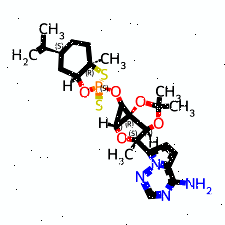 C=C(C)[C@H]1CC[C@@]2(C)S[P@@](=S)(OC3[C@H]4O[C@@](C)(c5ccc6c(N)ncnn56)[C@@H]5OC(C)(C)O[C@]345)O[C@@H]2C1